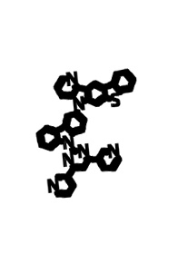 c1cncc(-c2cc(-c3cccnc3)nc(-n3c4ccccc4c4cc(-n5c6cc7sc8ccccc8c7cc6c6ncccc65)ccc43)n2)c1